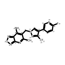 Cc1nc2nonc2c(N)c1Cn1cc(-c2ccc(F)nc2)c(C(F)(F)F)n1